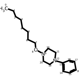 CCCCCCCCON1CCN(c2ccccc2)CC1